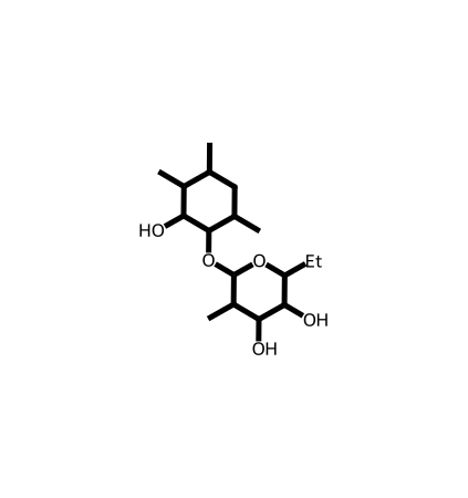 CCC1OC(OC2C(C)CC(C)C(C)C2O)C(C)C(O)C1O